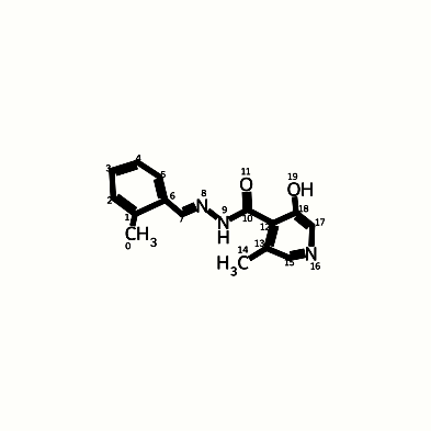 Cc1ccccc1/C=N/NC(=O)c1c(C)cncc1O